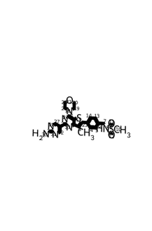 Cc1c(-c2ccc(CNS(C)(=O)=O)cc2)sc2c(N3CCOCC3)nc(-c3cnc(N)nc3)nc12